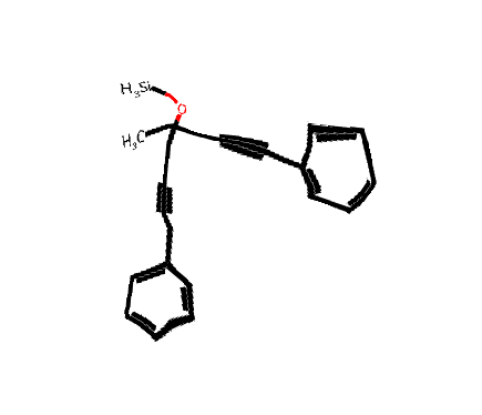 CC(C#Cc1ccccc1)(C#Cc1ccccc1)O[SiH3]